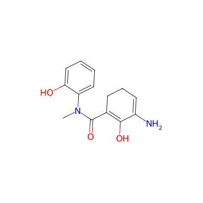 CN(C(=O)C1=C(O)C(N)=CCC1)c1ccccc1O